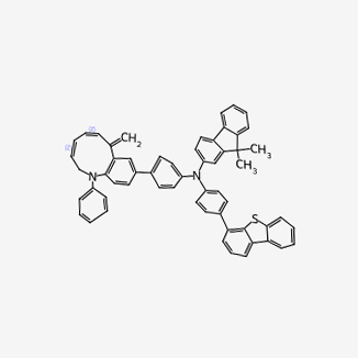 C=C1/C=C\C=C/CN(c2ccccc2)c2ccc(-c3ccc(N(c4ccc(-c5cccc6c5sc5ccccc56)cc4)c4ccc5c(c4)C(C)(C)c4ccccc4-5)cc3)cc21